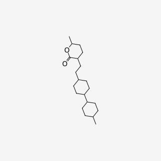 CC1CCC(C2CCC(CCC3CCC(C)OC3=O)CC2)CC1